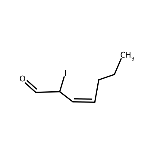 CCC/C=C\C(I)C=O